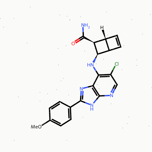 COc1ccc(-c2nc3c(N[C@@H]4C5C=C[C@H]5[C@@H]4C(N)=O)c(Cl)cnc3[nH]2)cc1